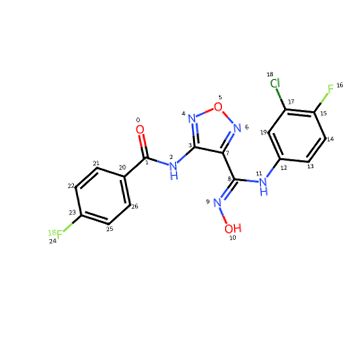 O=C(Nc1nonc1/C(=N/O)Nc1ccc(F)c(Cl)c1)c1ccc([18F])cc1